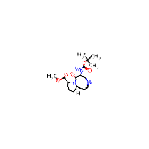 COC(=O)[C@@H]1CC[C@@H]2C/C=N\C[C@H](NC(=O)OC(C)(C)C)C(=O)N21